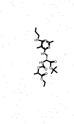 CCCNc1nc(C)nc(NC[C@H](NC(=O)OC(C)C(=O)OCC)C(=O)OC(C)(C)C)c1C